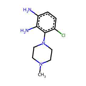 CN1CCN(c2c(Cl)ccc(N)c2N)CC1